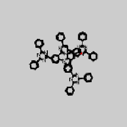 c1ccc(-c2cc(-c3ccccc3)nc(-c3cc(-c4nc(-c5ccccc5)nc(-c5ccccc5)n4)ccc3-n3c4ccc(-c5nc(-c6ccccc6)nc(-c6ccccc6)n5)cc4c4cc(-c5nc(-c6ccccc6)nc(-c6ccccc6)n5)ccc43)n2)cc1